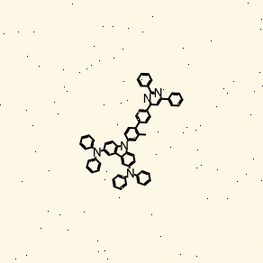 Cc1cc(-n2c3ccc(N(c4ccccc4)c4ccccc4)cc3c3cc(N(c4ccccc4)c4ccccc4)ccc32)ccc1-c1ccc(-c2cc(-c3ccccc3)nc(-c3ccccc3)n2)cc1